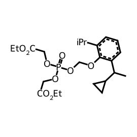 CCOC(=O)COP(=O)(OCOc1c(C(C)C)cccc1C(C)C1CC1)OCC(=O)OCC